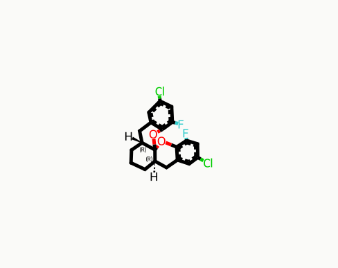 Fc1cc(Cl)cc2c1OC13Oc4c(F)cc(Cl)cc4C[C@H]1CCC[C@@H]3C2